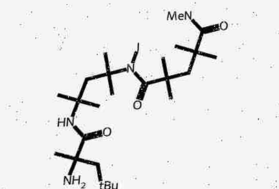 CNC(=O)C(C)(C)CC(C)(C)C(=O)N(I)C(C)(C)CC(C)(C)NC(=O)C(C)(N)CC(C)(C)C